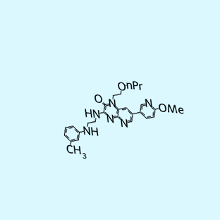 CCCOCCn1c(=O)c(NCCNc2cccc(C)c2)nc2ncc(-c3ccc(OC)nc3)cc21